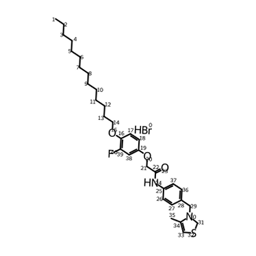 Br.CCCCCCCCCCCCCCOc1ccc(OCC(=O)Nc2ccc(CN3CSC=C3C)cc2)cc1F